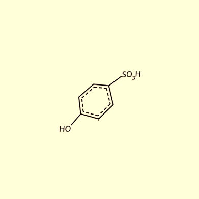 O=S(=O)(O)c1c[c]c(O)cc1